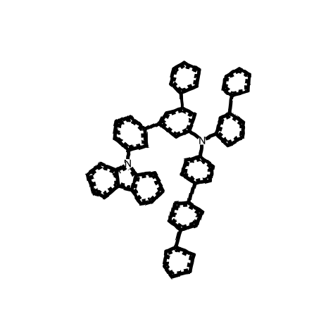 c1ccc(-c2ccc(-c3ccc(N(c4cccc(-c5ccccc5)c4)c4cc(-c5ccccc5)cc(-c5cccc(-n6c7ccccc7c7ccccc76)c5)c4)cc3)cc2)cc1